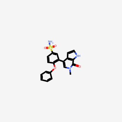 Cn1cc(-c2cc(S(N)(=O)=O)ccc2Oc2ccccc2)c2cc[nH]c2c1=O